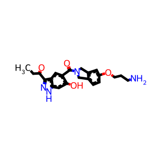 CCC(=O)c1n[nH]c2cc(O)c(C(=O)N3Cc4ccc(OCCCN)cc4C3)cc12